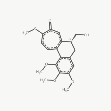 COc1cc2c(c(OC)c1OC)-c1ccc(SC)c(=O)cc1[C@@H](CO)C2